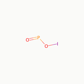 O=POI